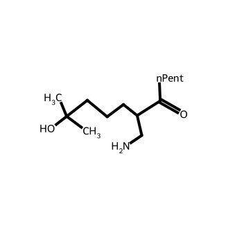 CCCCCC(=O)C(CN)CCCC(C)(C)O